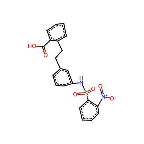 O=C(O)c1ccccc1CCc1cccc(NS(=O)(=O)c2ccccc2[N+](=O)[O-])c1